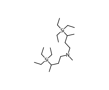 CC[Si](CC)(CC)C(C)CCN(C)CCC(C)[Si](CC)(CC)CC